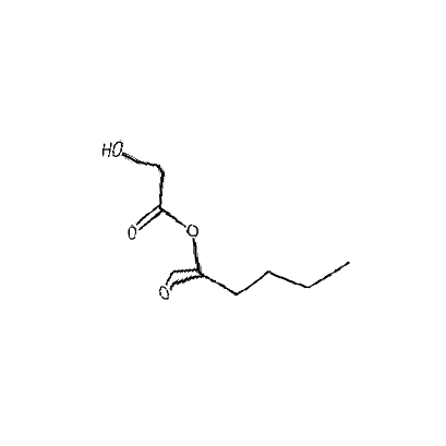 CCCCC(=O)OC(=O)CO